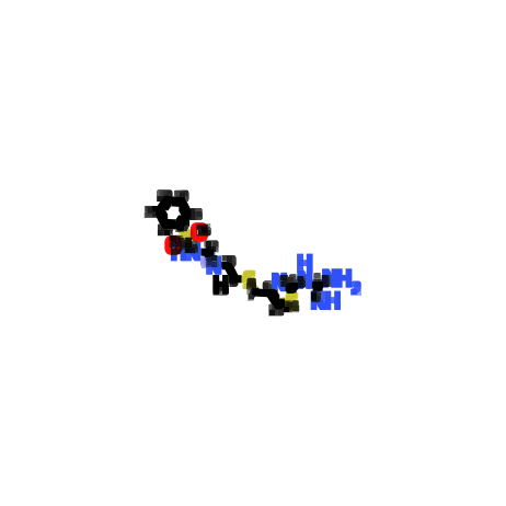 N=C(N)Nc1nc(CSCC/N=C/NS(=O)(=O)c2ccccc2)cs1.[H+]